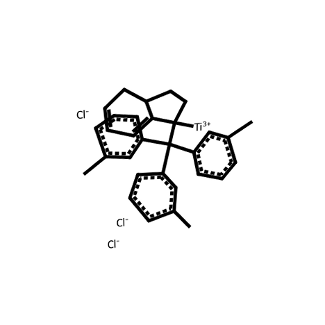 Cc1cccc(C(c2cccc(C)c2)(c2cccc(C)c2)[C]2([Ti+3])CCC3CC=CC=C32)c1.[Cl-].[Cl-].[Cl-]